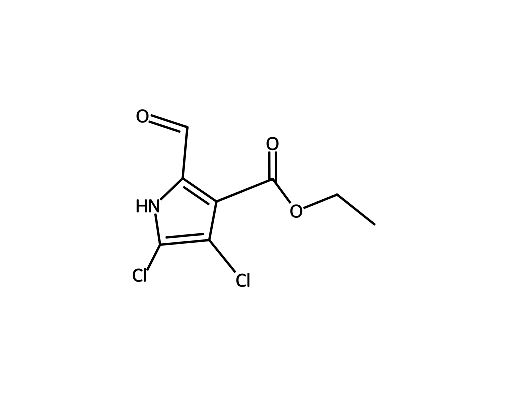 CCOC(=O)c1c(C=O)[nH]c(Cl)c1Cl